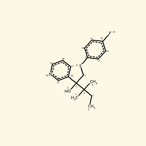 CCC(C)(C)C(O)(CSc1ccc(F)cc1)c1cccnc1